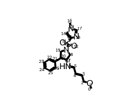 COCCCCN[C@@H]1CN(S(=O)(=O)c2cn(C)cn2)CC1c1ccccc1